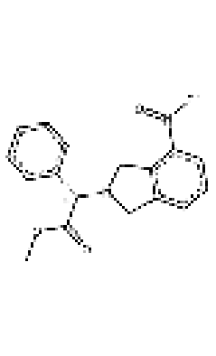 COC(=O)[C@H](c1ccccc1)N1Cc2cccc([N+](=O)[O-])c2C1